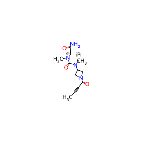 CC#CC(=O)N1CC(N(C)C(=O)N(C)[C@H](C(N)=O)C(C)C)C1